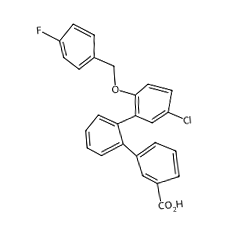 O=C(O)c1cccc(-c2ccccc2-c2cc(Cl)ccc2OCc2ccc(F)cc2)c1